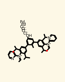 CC=[N+](c1ccccn1)c1c(C(C)C)cc(-c2cc(O)cc(-c3cc(C(C)C)c([N+](=CC)c4ccccn4)c(C(C)C)c3)c2C)cc1C(C)C.[Cl-].[Cl-].[Cl-].[Cl-].[Pd].[Pd]